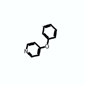 [c]1cccc(Oc2ccncc2)c1